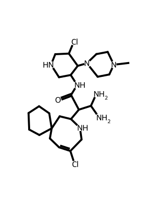 CN1CCN(C2C(Cl)CNCC2NC(=O)C(C(N)N)C2CC3(C/C=C(/Cl)CN2)CCCCC3)CC1